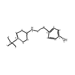 CC(C)(C)N1CCC(NCCc2ccc(O)cc2)CC1